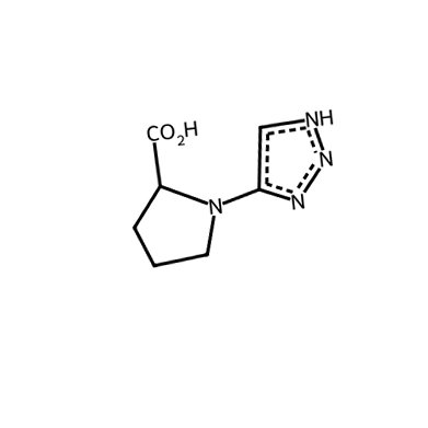 O=C(O)C1CCCN1c1c[nH]nn1